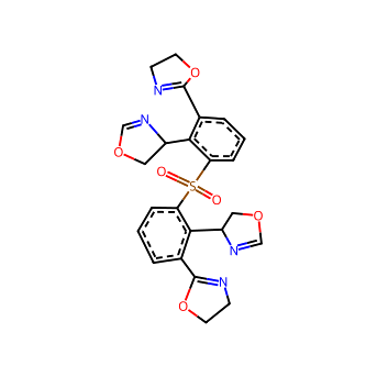 O=S(=O)(c1cccc(C2=NCCO2)c1C1COC=N1)c1cccc(C2=NCCO2)c1C1COC=N1